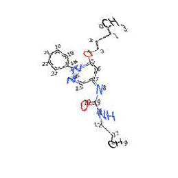 CCCCOc1cc(=NC(=O)NCCC)cnn1-c1ccccc1